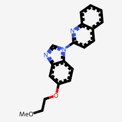 COCCOc1ccc2c(c1)ncn2-c1ccc2ccccc2n1